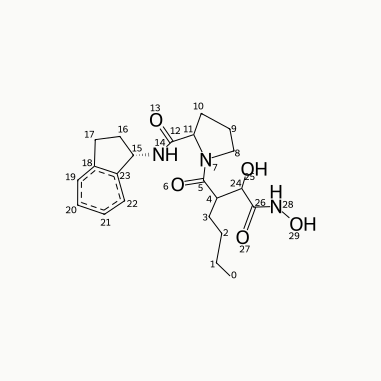 CCCCC(C(=O)N1CCCC1C(=O)N[C@H]1CCc2ccccc21)C(O)C(=O)NO